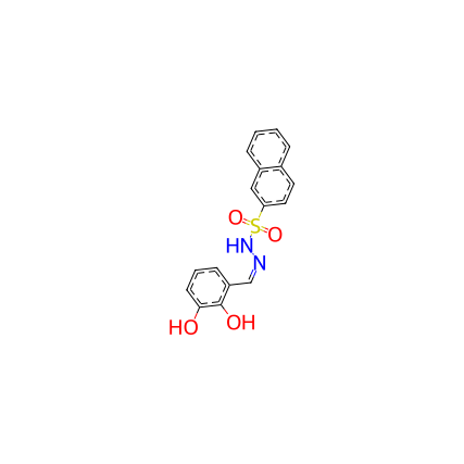 O=S(=O)(N/N=C\c1cccc(O)c1O)c1ccc2ccccc2c1